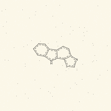 c1ccc2c(c1)[nH]c1c2ccc2ncsc21